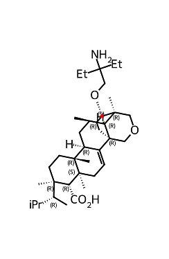 CCC(N)(CC)CO[C@H]1[C@H](C)C[C@@]23COC[C@@]1(C)[C@@H]2CC[C@H]1C3=CC[C@@]2(C)[C@H](C(=O)O)[C@@](C)([C@H](C)C(C)C)CC[C@]12C